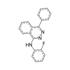 Fc1ccccc1Nc1nnc(-c2ccccc2)c2ccccc12